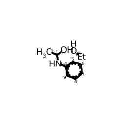 CC(O)Nc1ccccc1.CCO